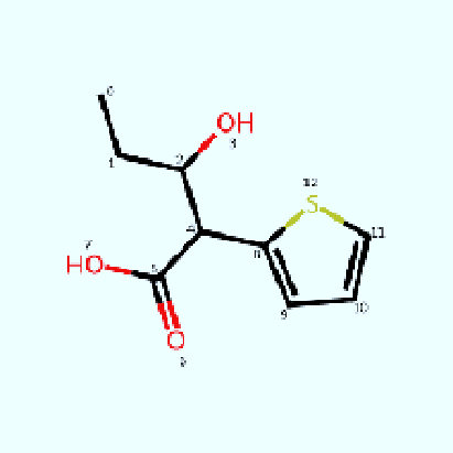 CCC(O)C(C(=O)O)c1cccs1